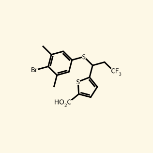 Cc1cc(SC(CC(F)(F)F)c2ccc(C(=O)O)s2)cc(C)c1Br